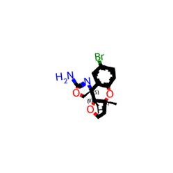 C[C@@]12CCO[C@@H]1[C@@]1(COC(N)=N1)c1cc(Br)ccc1O2